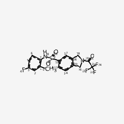 Cc1cc(F)ccc1NS(=O)(=O)c1ccc2c(c1)CN(C(=O)C(F)(F)F)C2